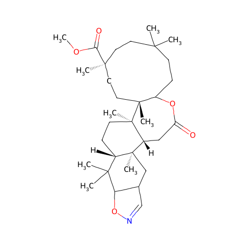 COC(=O)[C@@]1(C)CCC(C)(C)CCC2OC(=O)C[C@@H]3[C@@]4(C)CC5C=NOC5C(C)(C)[C@@H]4CC[C@@]3(C)[C@]2(C)CC1